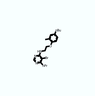 CCCCc1ccc(OCCNc2ncnc(CCC)c2Br)c(C)c1